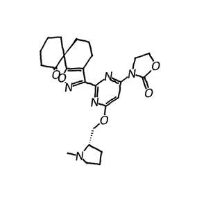 CN1CCC[C@H]1COc1cc(N2CCOC2=O)nc(-c2noc3c2CCC[C@@]32CCCCC2=O)n1